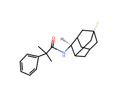 CC(C)(C(=O)N[C@H]1C2CC3CC1C[C@](F)(C3)C2)c1ccccc1